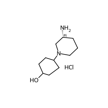 Cl.N[C@@H]1CCCN(C2CCC(O)CC2)C1